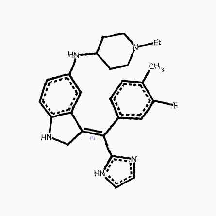 CCN1CCC(Nc2ccc3c(c2)/C(=C(\c2ccc(C)c(F)c2)c2ncc[nH]2)CN3)CC1